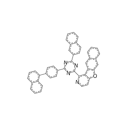 c1ccc2cc(-c3nc(-c4ccc(-c5cccc6ccccc56)cc4)nc(-c4nccc5oc6cc7ccccc7cc6c45)n3)ccc2c1